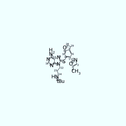 Cc1cnc(-c2cc3c(cc2Sc2nc4c(N)ncnc4n2CCCNC(C)(C)C)OCC3)o1